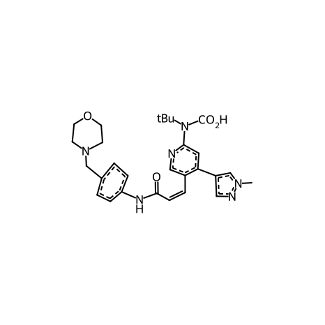 Cn1cc(-c2cc(N(C(=O)O)C(C)(C)C)ncc2/C=C\C(=O)Nc2ccc(CN3CCOCC3)cc2)cn1